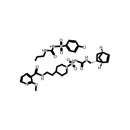 CCCNC(=O)NS(=O)(=O)c1ccc(Cl)cc1.COc1ncccc1C(=O)NCCC1CCN(S(=O)(=O)NC(=O)NC[C@@H]2C[C@@H]3C=C[C@H]2C3)CC1